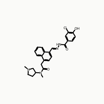 CN1CCC(N(C)C(=O)Cc2ccc(/C=N/NC(=O)c3ccc(O)c(Cl)c3)c3ccccc23)C1